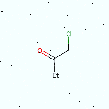 [CH2]CC(=O)CCl